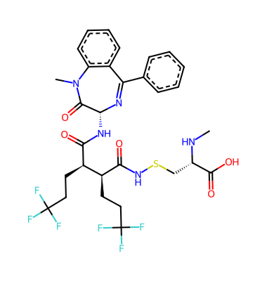 CN[C@@H](CSNC(=O)[C@@H](CCC(F)(F)F)[C@@H](CCC(F)(F)F)C(=O)N[C@H]1N=C(c2ccccc2)c2ccccc2N(C)C1=O)C(=O)O